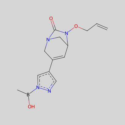 C=CCON1C(=O)N2CC(c3cnn(B(C)O)c3)=CC1C2